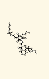 CCCCCC(C)(C)OCCn1c(=O)n(CCO)c(=O)n(CCOC(=O)C2CCCCC2C(=O)C(C)(CC)CCCC)c1=O